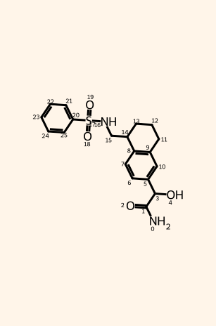 NC(=O)C(O)c1ccc2c(c1)CCCC2CNS(=O)(=O)c1ccccc1